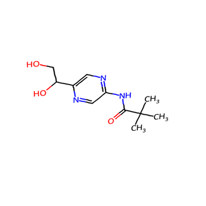 CC(C)(C)C(=O)Nc1cnc(C(O)CO)cn1